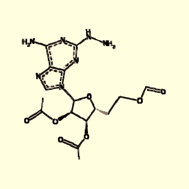 CC(=O)O[C@@H]1[C@@H](CCOC=O)OC(n2cnc3c(N)nc(NN)nc32)[C@@H]1OC(C)=O